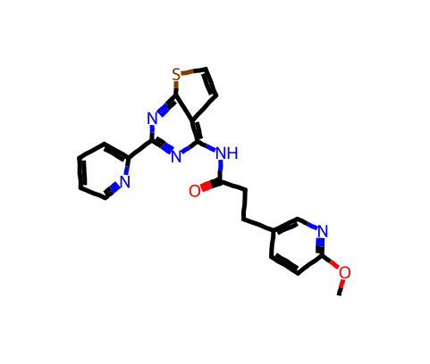 COc1ccc(CCC(=O)Nc2nc(-c3ccccn3)nc3sccc23)cn1